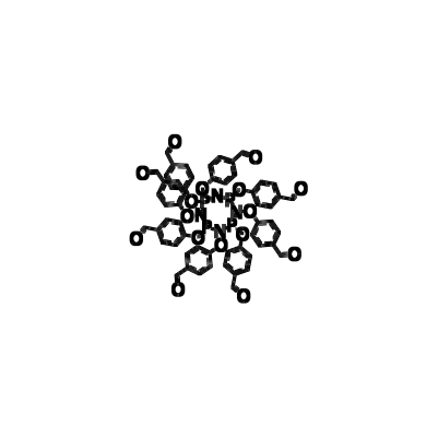 O=Cc1ccc(ON2P(Oc3ccc(C=O)cc3)N=P(Oc3ccc(C=O)cc3)(Oc3ccc(C=O)cc3)N(Oc3ccc(C=O)cc3)P(Oc3ccc(C=O)cc3)N(Oc3ccc(C=O)cc3)P2Oc2ccc(C=O)cc2)cc1